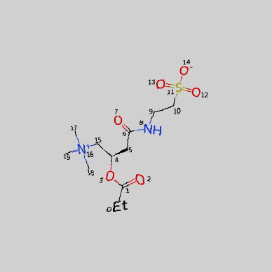 CCC(=O)O[C@H](CC(=O)NCCS(=O)(=O)[O-])C[N+](C)(C)C